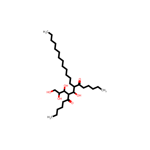 CCCCCCCCCCCCCC(C(=O)CCCCC)C(O)C(C(=O)CCCCC)C(O)C(O)CO